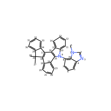 Cn1cnc2cccc(-n3c4ccccc4c4c5c(c6ccccc6c43)C(C)(C)c3ccccc3-5)c21